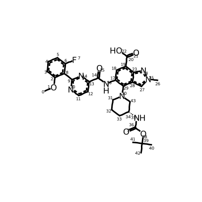 COc1cccc(F)c1-c1nccc(C(=O)Nc2cc(C(=O)O)c3nn(C)cc3c2N2CCC[C@@H](NC(=O)OC(C)(C)C)C2)n1